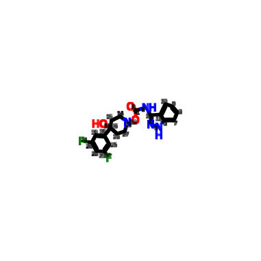 O=C(Nc1n[nH]c2ccccc12)ON1CCC(O)(c2cc(F)cc(F)c2)CC1